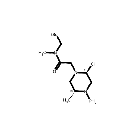 C[C@@H]1CN(CC(=O)N(C)CC(C)(C)C)[C@@H](C)CN1P